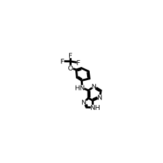 FC(F)(F)Oc1cccc(Nc2ncnc3[nH]cnc23)c1